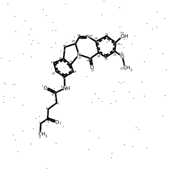 CCC(=O)CCC(=O)Nc1ccc2c(c1)N1C(=O)c3cc(OC)c(O)cc3N=CC1C2